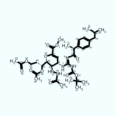 COC(=O)C1=C[C@H](NC(=NC(=O)[C@@H](C)c2ccc(CC(C)C)cc2)NC(=O)OC(C)(C)C)[C@@H](NNC(C)=O)[C@H]([C@@H](CCOC(C)=O)OC(C)=O)O1